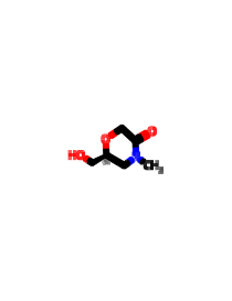 CN1C[C@@H](CO)OCC1=O